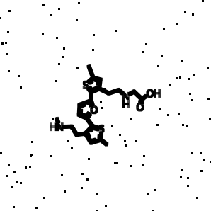 CNCCc1cc(C)sc1-c1ccc(-c2sc(C)cc2CCNCC(=O)O)o1